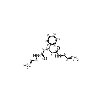 C=CCNC(=O)CN(CC(=O)NCC=C)c1ccccc1